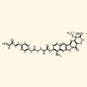 CC[C@@]1(O)C(=O)OCc2c1cc1n(c2=O)Cc2cc3c(N)c(OC(=O)NCCNCc4ccc(/C=C/C(=O)NO)cc4)ccc3nc2-1